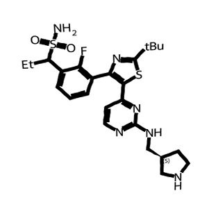 CCC(c1cccc(-c2nc(C(C)(C)C)sc2-c2ccnc(NC[C@H]3CCNC3)n2)c1F)S(N)(=O)=O